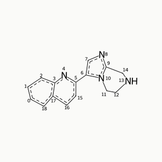 c1ccc2nc(-c3cnc4n3CCNC4)ccc2c1